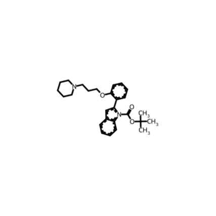 CC(C)(C)OC(=O)n1c(-c2ccccc2OCCCN2CCCCC2)cc2ccccc21